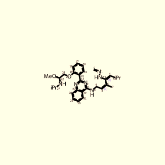 C=NNC(=C/C(C)C)/C(C)=C\CNc1nc(-c2ccccc2OCC(NC(C)C)OC)nc2ccccc12